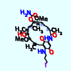 CO[C@H]1C[C@H](C)CC2=C(NCCCI)C(=O)C=C(NC(=O)/C(C)=C\C=C\[C@@H](OC)[C@@H](OC(N)=O)/C(C)=C/[C@H](C)[C@H]1O)C2=O